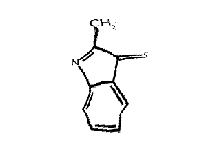 [CH2]C1=Nc2ccccc2C1=S